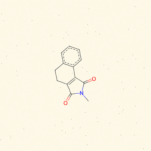 CN1C(=O)C2=C(C1=O)c1ccccc1CC2